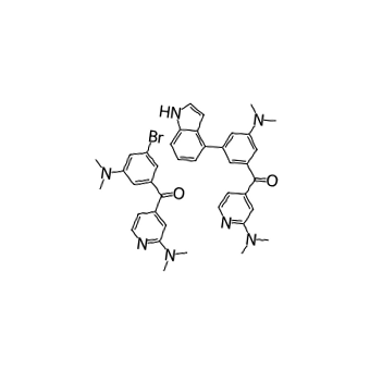 CN(C)c1cc(Br)cc(C(=O)c2ccnc(N(C)C)c2)c1.CN(C)c1cc(C(=O)c2ccnc(N(C)C)c2)cc(-c2cccc3[nH]ccc23)c1